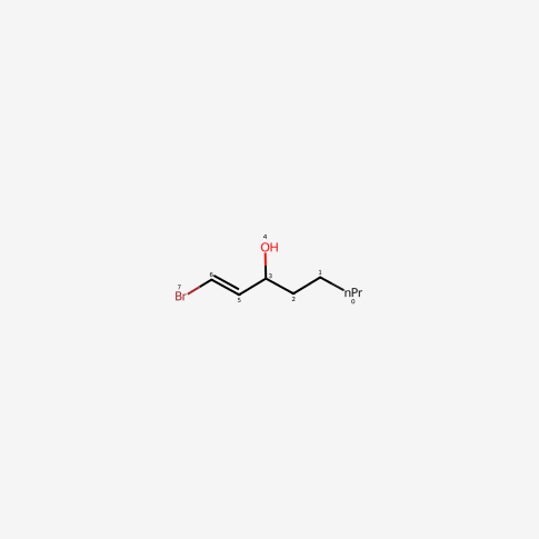 CCCCCC(O)/C=C/Br